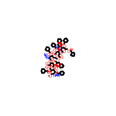 CCC1O[C@@H](O[C@H]2C(C(=O)OC)O[C@@H](O[C@@H]3C(COC(=O)c4ccccc4)O[C@H](OC)C(N=[N+]=[N-])[C@H]3OCc3ccccc3)C(OC(=O)c3ccccc3)[C@@H]2OCc2ccccc2)C(N=[N+]=[N-])[C@@H](OC(=O)c2ccccc2)[C@@H]1O[C@@H]1OC(C(=O)OC)[C@@H](O[C@H]2OC(COC(=O)c3ccccc3)[C@@H](OCc3ccccc3)[C@H](OCc3ccccc3)C2N=[N+]=[N-])[C@H](OCc2ccccc2)C1OCc1ccccc1